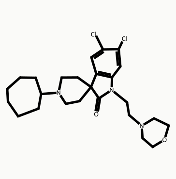 O=C1N(CCN2CCOCC2)c2cc(Cl)c(Cl)cc2C12CCN(C1CCCCCC1)CC2